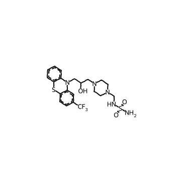 NS(=O)(=O)NCN1CCN(CC(O)CN2c3ccccc3Sc3ccc(C(F)(F)F)cc32)CC1